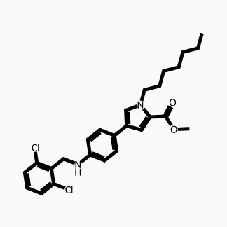 CCCCCCCn1cc(-c2ccc(NCc3c(Cl)cccc3Cl)cc2)cc1C(=O)OC